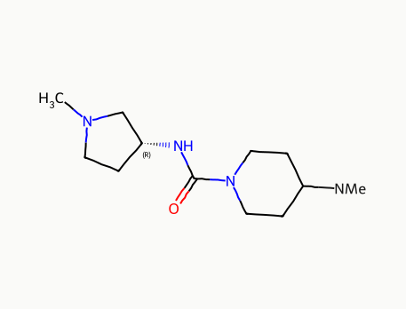 CNC1CCN(C(=O)N[C@@H]2CCN(C)C2)CC1